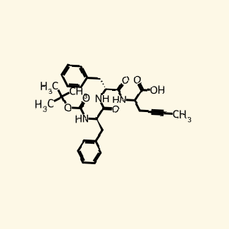 CC#CCC(NC(=O)[C@@H](Cc1ccccc1)NC(=O)[C@@H](Cc1ccccc1)NC(=O)OC(C)(C)C)C(=O)O